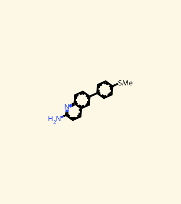 CSc1ccc(-c2ccc3nc(N)ccc3c2)cc1